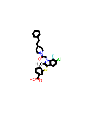 Cc1c(Sc2cccc(C(=O)O)c2)c2ccc(Cl)c(F)c2n1CC(=O)N1CCC(CCc2ccccc2)CC1